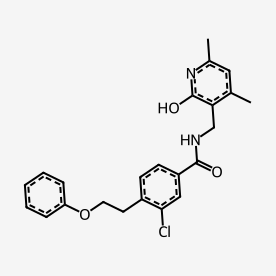 Cc1cc(C)c(CNC(=O)c2ccc(CCOc3ccccc3)c(Cl)c2)c(O)n1